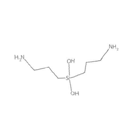 NCCC[Si](O)(O)CCCN